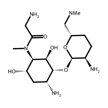 CNC[C@@H]1CC[C@@H](N)[C@@H](O[C@H]2[C@H](O)[C@H](N(C)C(=O)CN)[C@@H](O)C[C@H]2N)O1